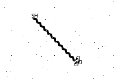 SCCCCCCCCCCCCCCCCCCCCCCC[Si](Cl)(Cl)Cl